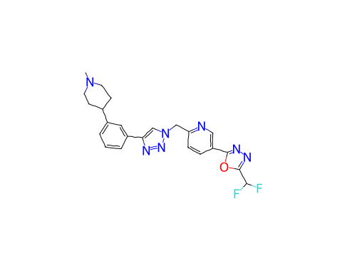 CN1CCC(c2cccc(-c3cn(Cc4ccc(-c5nnc(C(F)F)o5)cn4)nn3)c2)CC1